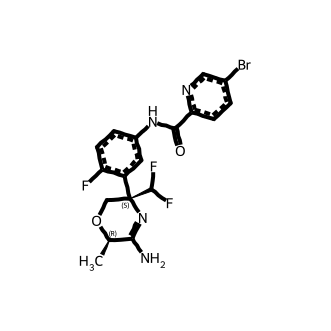 C[C@H]1OC[C@@](c2cc(NC(=O)c3ccc(Br)cn3)ccc2F)(C(F)F)N=C1N